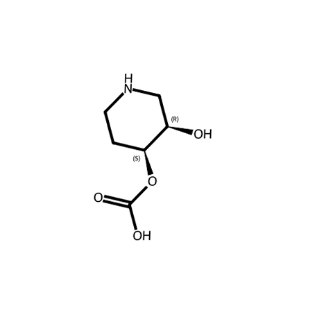 O=C(O)O[C@H]1CCNC[C@H]1O